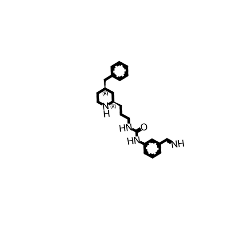 N=Cc1cccc(NC(=O)NCCC[C@@H]2C[C@H](Cc3ccccc3)CCN2)c1